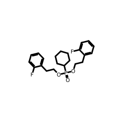 O=P(OCCc1ccccc1F)(OCCc1ccccc1F)C1CCCCC1